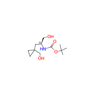 CC(C)(C)OC(=O)N[C@H](CO)CC1(CO)CC1